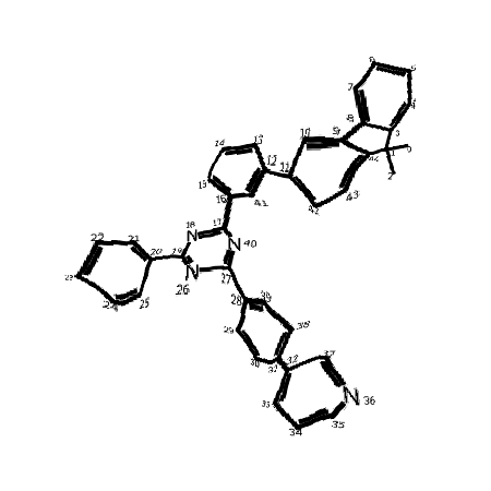 CC1(C)c2ccccc2-c2cc(-c3cccc(-c4nc(-c5ccccc5)nc(-c5ccc(-c6cccnc6)cc5)n4)c3)ccc21